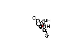 O=C(Nc1cccc(Cn2ccnc2)c1)C1CNCCN1C1c2ccc(Cl)cc2CCc2cccnc21